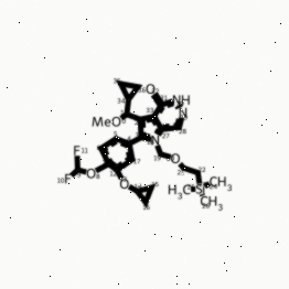 COC(c1c(-c2ccc(OC(F)F)c(OC3CC3)c2)n(COCC[Si](C)(C)C)c2cn[nH]c(=O)c12)C1CC1